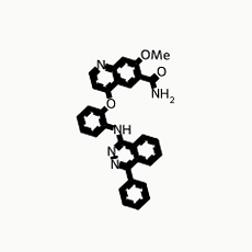 COc1cc2nccc(Oc3ccccc3Nc3nnc(-c4ccccc4)c4ccccc34)c2cc1C(N)=O